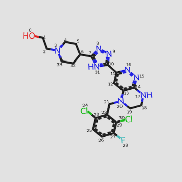 OCCN1CCC(c2nnc(-c3cc4c(nn3)NCCN4Cc3c(Cl)ccc(F)c3Cl)[nH]2)CC1